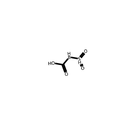 O=C(O)B[SH](=O)=O